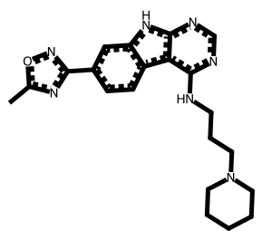 Cc1nc(-c2ccc3c(c2)[nH]c2ncnc(NCCCN4CCCCC4)c23)no1